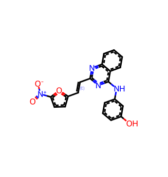 O=[N+]([O-])c1ccc(/C=C/c2nc(Nc3cccc(O)c3)c3ccccc3n2)o1